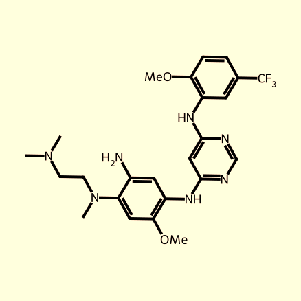 COc1ccc(C(F)(F)F)cc1Nc1cc(Nc2cc(N)c(N(C)CCN(C)C)cc2OC)ncn1